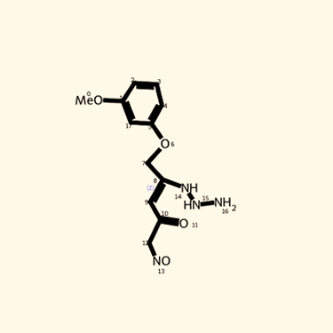 COc1cccc(OC/C(=C/C(=O)CN=O)NNN)c1